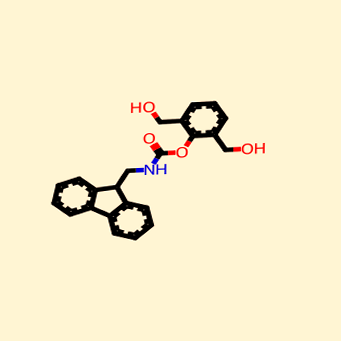 O=C(NCC1c2ccccc2-c2ccccc21)Oc1c(CO)cccc1CO